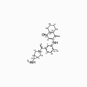 C=C1C(Nc2cc(C(=C)N3CC4C(C3)C4NC)ccc2C)=CC(=O)C2=C1CCCC2